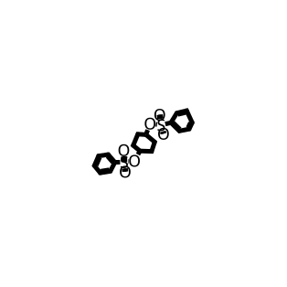 O=S(=O)(OC1CCC(OS(=O)(=O)c2ccccc2)CC1)c1ccccc1